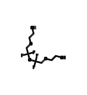 OCCOCC(F)(F)OC(F)(F)COCCO